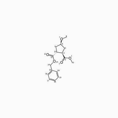 COC(=O)[C@@H]1C[C@H](OC)C[C@H]1C(=O)OCc1ccccc1